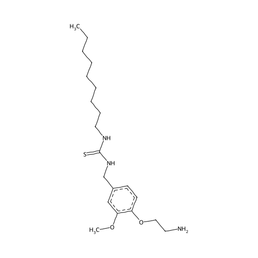 CCCCCCCCCNC(=S)NCc1ccc(OCCN)c(OC)c1